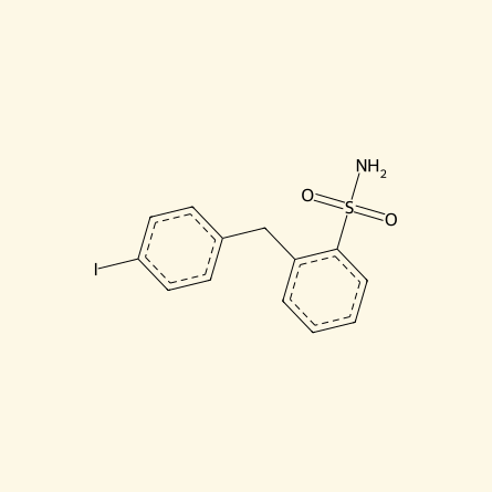 NS(=O)(=O)c1ccccc1Cc1ccc(I)cc1